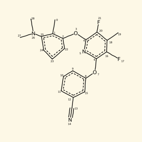 Cc1c(Oc2nc(Oc3cccc(C#N)c3)c(F)c(C)c2F)cccc1N(C)C